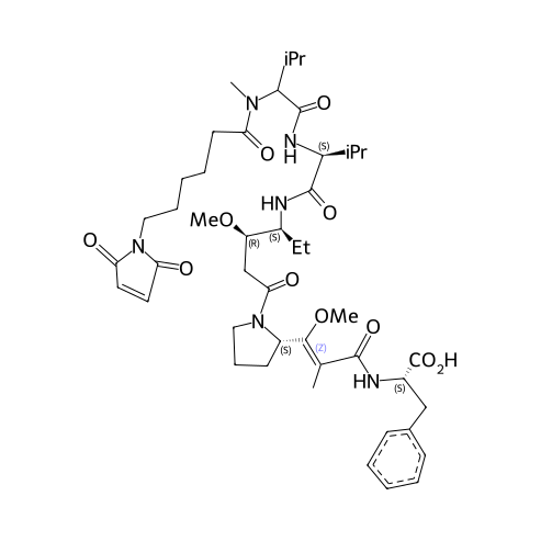 CC[C@H](NC(=O)[C@@H](NC(=O)C(C(C)C)N(C)C(=O)CCCCCN1C(=O)C=CC1=O)C(C)C)[C@@H](CC(=O)N1CCC[C@H]1/C(OC)=C(\C)C(=O)N[C@@H](Cc1ccccc1)C(=O)O)OC